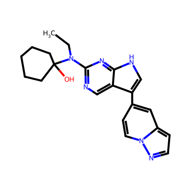 CCN(c1ncc2c(-c3ccn4nccc4c3)c[nH]c2n1)C1(O)CCCCC1